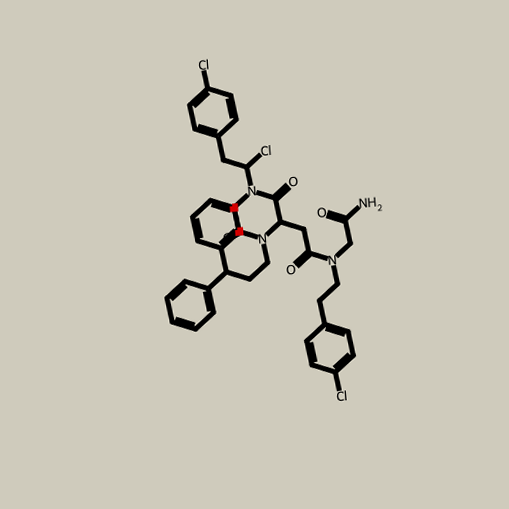 NC(=O)CN(CCc1ccc(Cl)cc1)C(=O)CC1C(=O)N(C(Cl)Cc2ccc(Cl)cc2)CC(=O)N1CCC(c1ccccc1)c1ccccc1